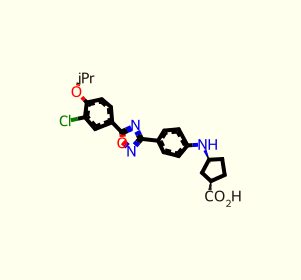 CC(C)Oc1ccc(-c2nc(-c3ccc(N[C@H]4CC[C@@H](C(=O)O)C4)cc3)no2)cc1Cl